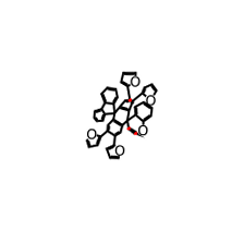 c1coc(-c2cc3c(cc2-c2ccco2)C2(c4ccccc4-c4ccccc42)c2cc(-c4ccco4)c(-c4ccco4)cc2C32c3ccccc3Oc3ccccc32)c1